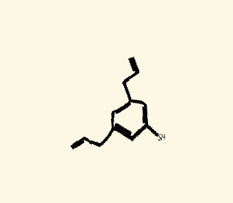 C=CCc1cc(S)cc(CC=C)c1